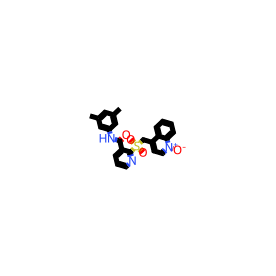 Cc1cc(C)cc(NC(=O)c2cccnc2S(=O)(=O)Cc2cc[n+]([O-])c3ccccc23)c1